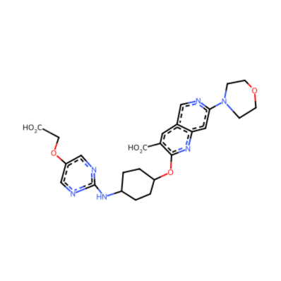 O=C(O)COc1cnc(NC2CCC(Oc3nc4cc(N5CCOCC5)ncc4cc3C(=O)O)CC2)nc1